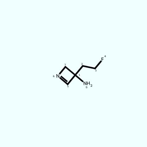 NC1(CCF)C=NC1